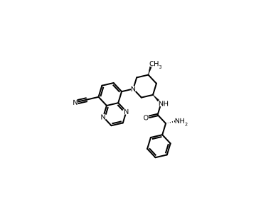 C[C@H]1C[C@@H](NC(=O)[C@H](N)c2ccccc2)CN(c2ccc(C#N)c3nccnc23)C1